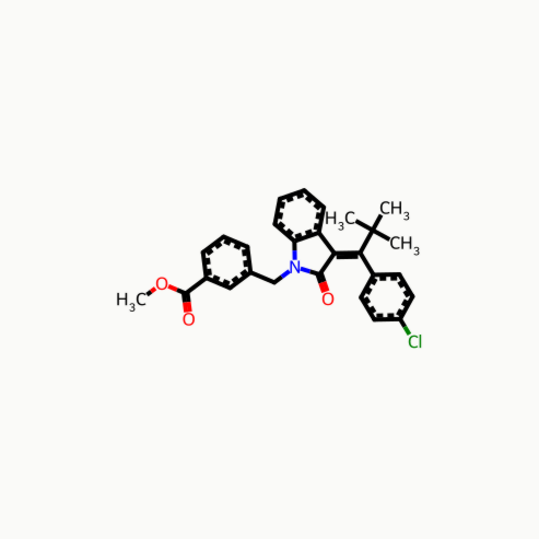 COC(=O)c1cccc(CN2C(=O)/C(=C(\c3ccc(Cl)cc3)C(C)(C)C)c3ccccc32)c1